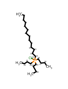 CCCCCCCCCCCCCCP(Cl)(CCCC)(CCCC)CCCC